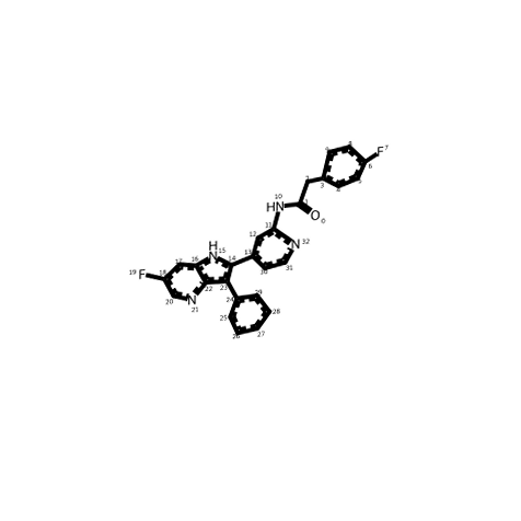 O=C(Cc1ccc(F)cc1)Nc1cc(-c2[nH]c3cc(F)cnc3c2-c2ccccc2)ccn1